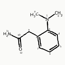 CN(C)c1ccccc1CC(N)=O